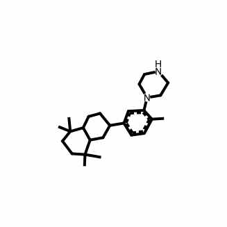 Cc1ccc(C2CCC3C(C2)C(C)(C)CCC3(C)C)cc1N1CCNCC1